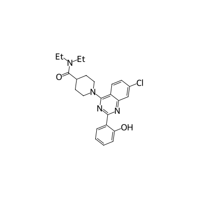 CCN(CC)C(=O)C1CCN(c2nc(-c3ccccc3O)nc3cc(Cl)ccc23)CC1